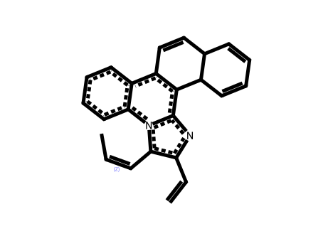 C=Cc1nc2c3c(c4ccccc4n2c1/C=C\C)C=CC1C=CC=CC31